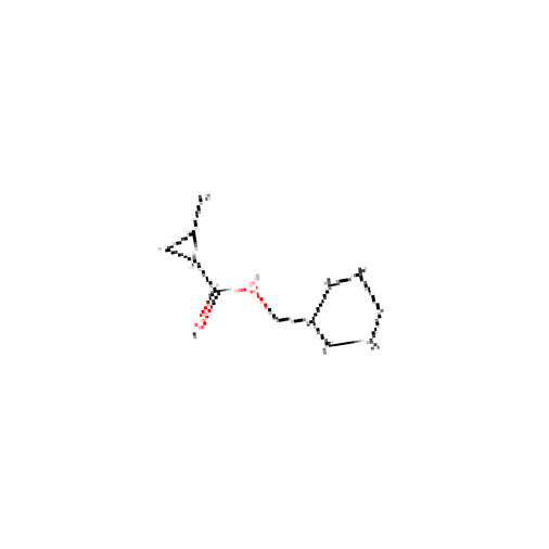 CC1CC1C(=O)OCC1CCCCC1